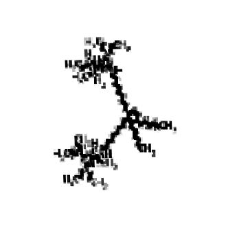 C=CCN(CC=C)c1nc(N(CC=C)CC=C)nc(C(C)(CC)NCCCCCCCCCC2C(CCCCCC)C(CCCCCC)CC[C@H]2CCCCCCCCCNc2nc(N(CC=C)CC=C)nc(C(C)(CC)N(CC)CC=C)n2)n1